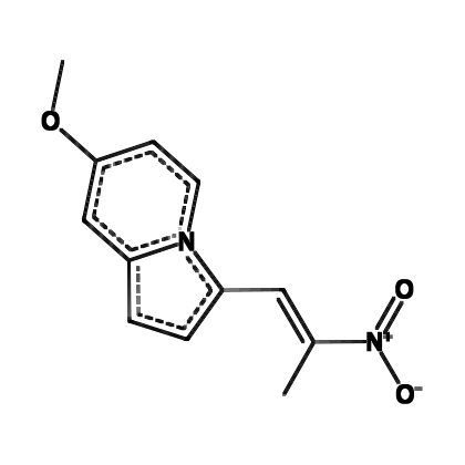 COc1ccn2c(/C=C(\C)[N+](=O)[O-])ccc2c1